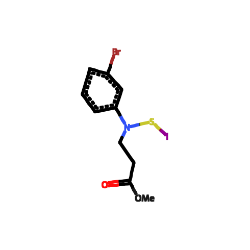 COC(=O)CCN(SI)c1cccc(Br)c1